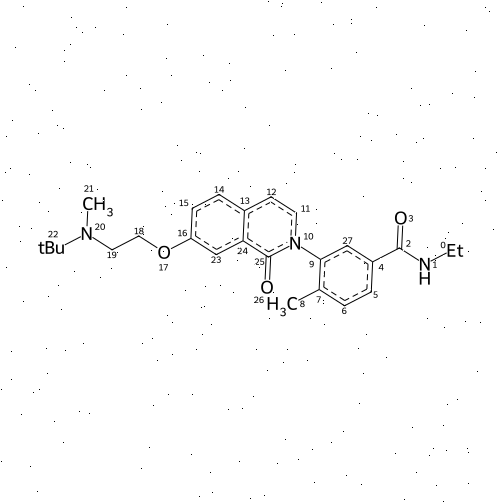 CCNC(=O)c1ccc(C)c(-n2ccc3ccc(OCCN(C)C(C)(C)C)cc3c2=O)c1